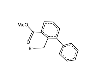 COC(=O)c1cccc(-c2ccccc2)c1CBr